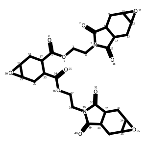 O=C(OCCN1C(=O)C2CC3OC3CC2C1=O)C1CC2OC2CC1C(=O)OCCN1C(=O)C2CC3OC3CC2C1=O